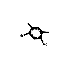 CC(=O)c1cc(Br)c(C)cc1C